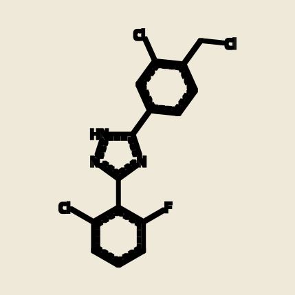 Fc1cccc(Cl)c1-c1n[nH]c(-c2ccc(CCl)c(Cl)c2)n1